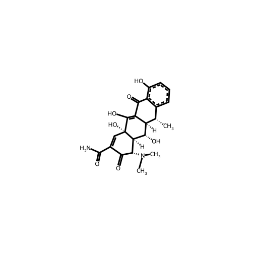 C[C@H]1c2cccc(O)c2C(=O)C2=C(O)[C@]3(O)C=C(C(N)=O)C(=O)[C@@H](N(C)C)[C@@H]3[C@@H](O)[C@@H]21